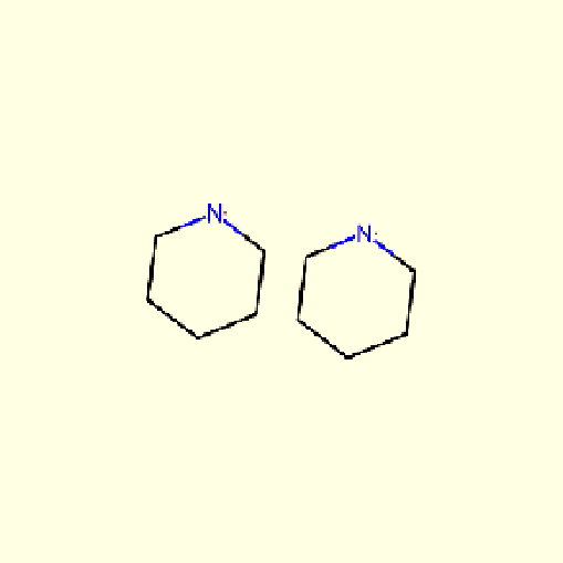 C1CC[N]CC1.C1CC[N]CC1